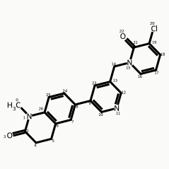 CN1C(=O)CCc2cc(-c3cncc(Cn4cccc(Cl)c4=O)c3)ccc21